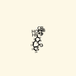 CC(O)(C(=O)Nc1ccc2c(=O)c3sccc3ccc2c1)C(F)(F)F